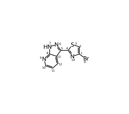 Brc1csc(-c2n[nH]c3ncccc23)n1